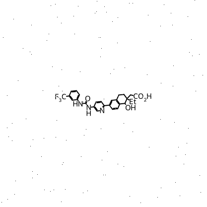 CCC1(CC(=O)O)CCc2cc(-c3ccc(NC(=O)Nc4cccc(C(F)(F)F)c4)cn3)ccc2C1O